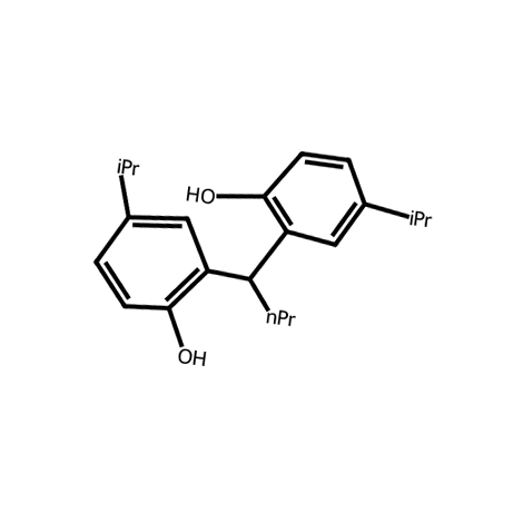 CCCC(c1cc(C(C)C)ccc1O)c1cc(C(C)C)ccc1O